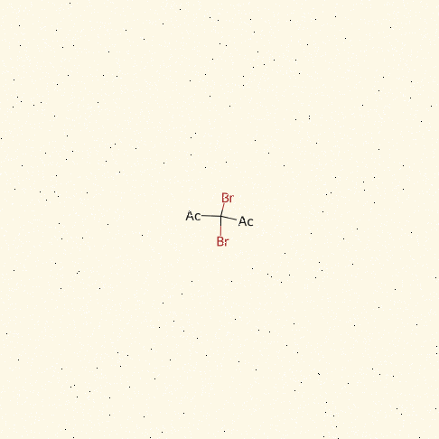 CC(=O)C(Br)(Br)C(C)=O